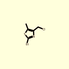 CCc1nc(CCl)c(C)s1